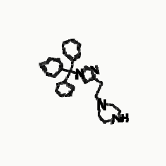 c1ccc(C(c2ccccc2)(c2ccccc2)n2cnc(CCN3CCNCC3)c2)cc1